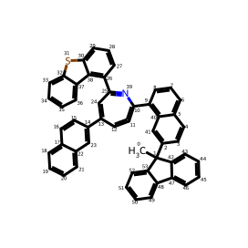 CC1(c2ccc3cccc(C4=C=CC(c5ccc6ccccc6c5)=CC(c5cccc6sc7ccccc7c56)=N4)c3c2)c2ccccc2-c2ccccc21